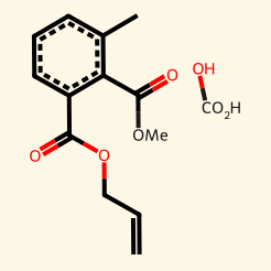 C=CCOC(=O)c1cccc(C)c1C(=O)OC.O=C(O)O